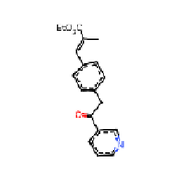 CCOC(=O)/C(C)=C/c1ccc(CC(=O)c2cccnc2)cc1